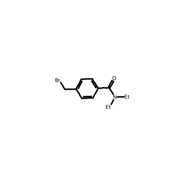 CCN(CC)C(=O)c1ccc(CBr)cc1